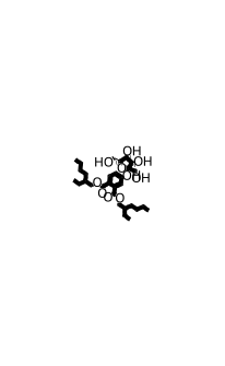 CCCCC(CC)COC(=O)c1ccccc1C(=O)OCC(CC)CCCC.OC[C@H]1O[C@](O)(CO)[C@@H](O)[C@@H]1O